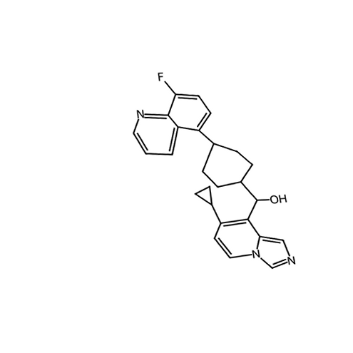 OC(c1c(C2CC2)ccn2cncc12)C1CCC(c2ccc(F)c3ncccc23)CC1